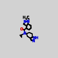 CCn1ncc2c(C(=O)N(C3CC3)C3CCc4[nH]ncc4C3)cccc21